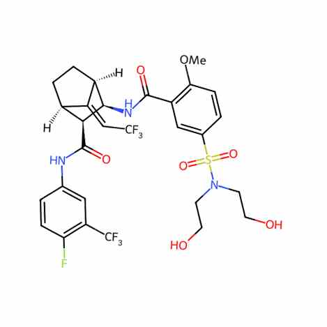 COc1ccc(S(=O)(=O)N(CCO)CCO)cc1C(=O)N[C@H]1[C@@H](C(=O)Nc2ccc(F)c(C(F)(F)F)c2)[C@H]2CC[C@@H]1/C2=C\C(F)(F)F